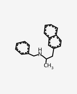 CC(Cc1ccc2ccccc2c1)NCc1ccccc1